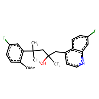 COc1ccc(F)cc1C(C)(C)CC(O)(Cc1ccnc2cc(F)ccc12)C(F)(F)F